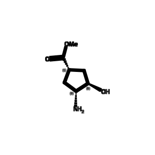 COC(=O)[C@H]1C[C@@H](N)[C@H](O)C1